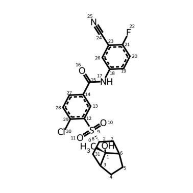 C[C@]1(O)C2CCC1C[C@@H](S(=O)(=O)c1cc(C(=O)Nc3ccc(F)c(C#N)c3)ccc1Cl)C2